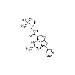 CC(C)Nc1c(C(=O)NC[C@@H](F)C(C)(C)O)cnc2sc(-c3cccnc3)nc12